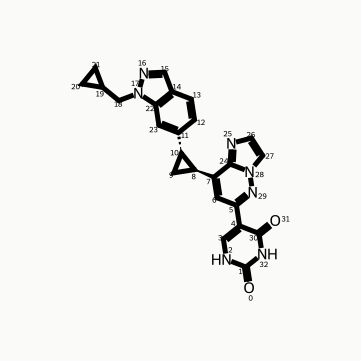 O=c1[nH]cc(-c2cc([C@H]3C[C@@H]3c3ccc4cnn(CC5CC5)c4c3)c3nccn3n2)c(=O)[nH]1